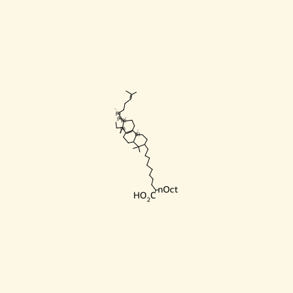 CCCCCCCCC(CCCCCCCCC1CC[C@]2(C)C3=C(CCC2C1(C)C)[C@]1(C)CC[C@H]([C@H](C)CCC=C(C)C)[C@@]1(C)CC3)C(=O)O